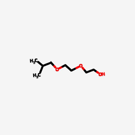 CC(C)[CH]OCCOCCO